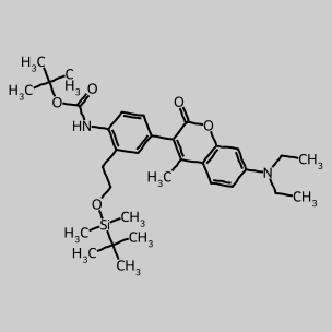 CCN(CC)c1ccc2c(C)c(-c3ccc(NC(=O)OC(C)(C)C)c(CCO[Si](C)(C)C(C)(C)C)c3)c(=O)oc2c1